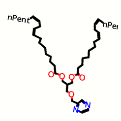 CCCCC/C=C\C/C=C\CCCCCCCC(=O)OCC(COCc1cnccn1)COC(=O)CCCCCCC/C=C\C/C=C\CCCCC